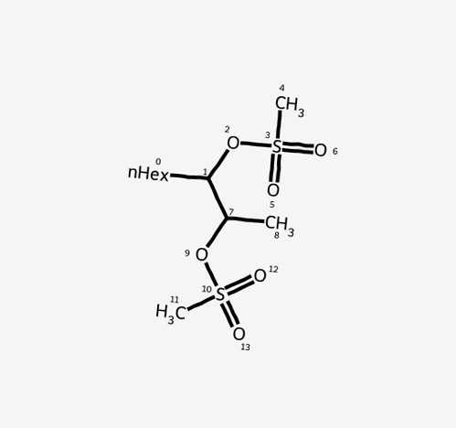 CCCCCCC(OS(C)(=O)=O)C(C)OS(C)(=O)=O